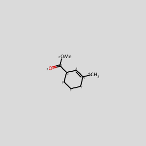 COC(=O)C1C=C(C)CCC1